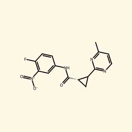 Cc1ccnc(C2C[C@@H]2C(=O)Nc2ccc(F)c([N+](=O)[O-])c2)n1